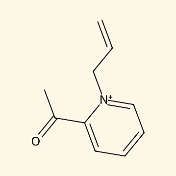 C=CC[n+]1ccccc1C(C)=O